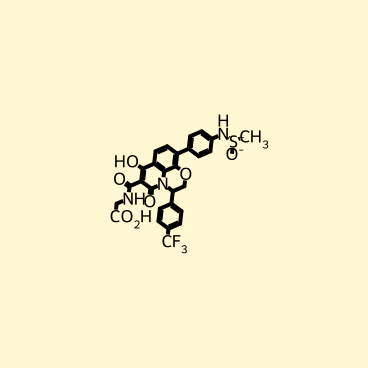 C[S+]([O-])Nc1ccc(-c2ccc3c(O)c(C(=O)NCC(=O)O)c(=O)n4c3c2OCC4c2ccc(C(F)(F)F)cc2)cc1